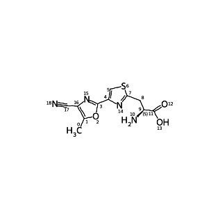 Cc1oc(-c2csc(C[C@H](N)C(=O)O)n2)nc1C#N